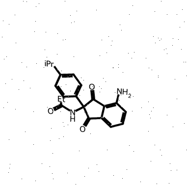 CCC(=O)NC1(c2[c]cc(C(C)C)cc2)C(=O)c2cccc(N)c2C1=O